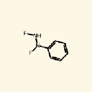 FNN(F)c1ccccc1